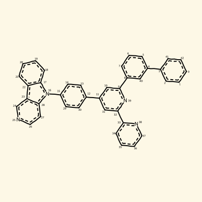 c1ccc(-c2cccc(-c3cc(-c4ccc(-n5c6ccccc6c6cnccc65)cc4)cc(-c4ccccn4)n3)c2)cc1